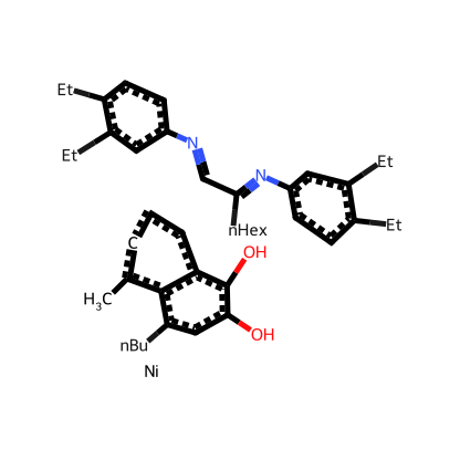 CCCCCCC(C=Nc1ccc(CC)c(CC)c1)=Nc1ccc(CC)c(CC)c1.CCCCc1cc(O)c(O)c2cccc(C)c12.[Ni]